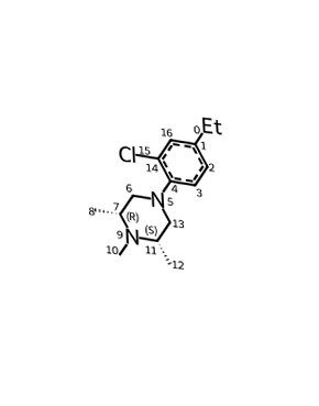 CCc1ccc(N2C[C@@H](C)N(C)[C@@H](C)C2)c(Cl)c1